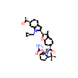 CC(=O)c1ccc2cc(-c3oc4cc(C(=O)N5CC6CCC5(C(C)(C)C)[C@@H]6OC(N)=O)ccc4c3C)n(CC3CC3)c2c1